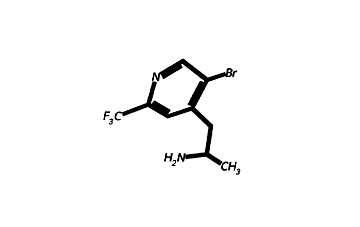 CC(N)Cc1cc(C(F)(F)F)ncc1Br